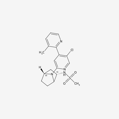 Cc1cccnc1-c1cc(N2C3CC[C@@H]2C[C@@H]3NS(C)(=O)=O)ncc1Cl